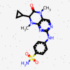 CN1C(=O)C(C2CC2)N(C)c2nc(Nc3ccc(S(N)(=O)=O)cc3)ncc21